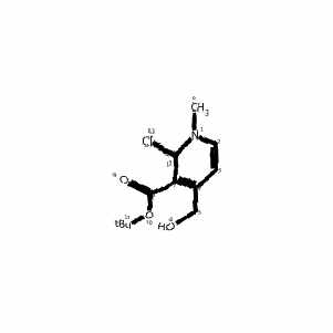 CN1C=CC(CO)=C(C(=O)OC(C)(C)C)C1Cl